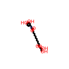 O=C(/C=C/c1ccc(O)c(O)c1)OCCCCCCCCCCCC(=O)OCC(O)CO